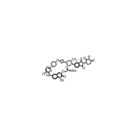 CNC(=O)COc1cc2cc(Nc3nc(N4CCC(OC5CC(N6CCN(c7ccc8c(c7)C(=O)N(C7CCC(=O)NC7=O)C8=O)[C@H](C)C6)C5)CC4)ncc3Cl)ccc2n(C(C)C)c1=O